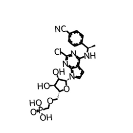 C[C@@H](Nc1nc(Cl)nc2c1ccn2[C@@H]1O[C@H](COCP(=O)(O)O)[C@@H](O)[C@H]1O)c1ccc(C#N)cc1